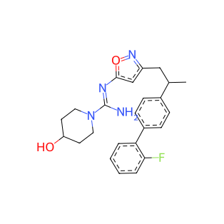 CC(Cc1cc(N=C(N)N2CCC(O)CC2)on1)c1ccc(-c2ccccc2F)cc1